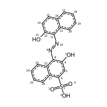 O=S(=O)(O)c1cc(O)c(/N=N/c2c(O)ccc3ccccc23)c2ccccc12